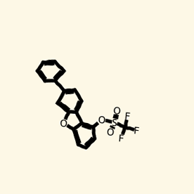 O=S(=O)(Oc1cccc2oc3cc(-c4ccccc4)ccc3c12)C(F)(F)F